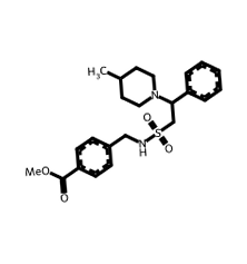 COC(=O)c1ccc(CNS(=O)(=O)CC(c2ccccc2)N2CCC(C)CC2)cc1